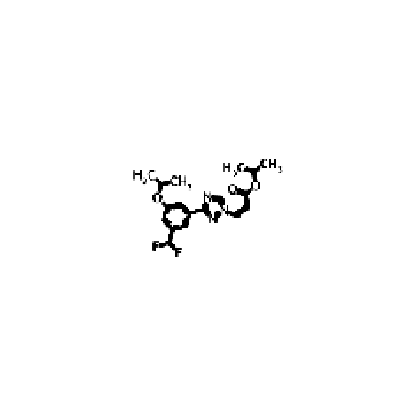 CC(C)OC(=O)/C=C\n1cnc(-c2cc(OC(C)C)cc(C(F)F)c2)n1